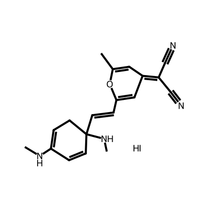 CNC1=CCC(C=CC2=CC(=C(C#N)C#N)C=C(C)O2)(NC)C=C1.I